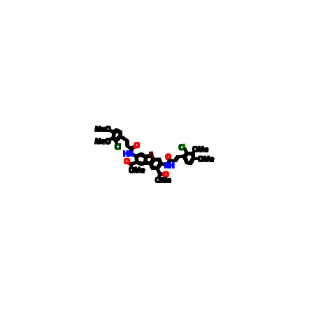 COC(=O)c1cc2c(cc1NC(=O)C=Cc1ccc(OC)c(OC)c1Cl)sc1cc(NC(=O)C=Cc3ccc(OC)c(OC)c3Cl)c(C(=O)OC)cc12